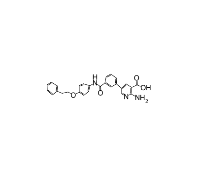 Nc1ncc(-c2cccc(C(=O)Nc3ccc(OCCc4ccccc4)cc3)c2)cc1C(=O)O